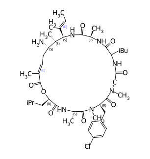 C/C=C(\C)[C@H]1NC(=O)[C@@H](C)NC(=O)C(C(C)CC)NC(=O)CN(C)C(=O)[C@@H](Cc2ccc(Cl)cc2)N(C)C(=O)[C@H](C)NC(=O)[C@@H](CC(C)C)OC(=O)/C(C)=C/C[C@H](N)[C@@H]1C